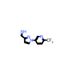 N=Cc1ccn(-c2ccc(C(F)(F)F)nc2)n1